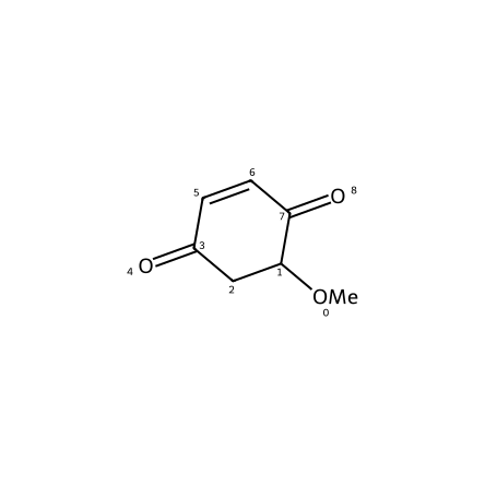 COC1CC(=O)C=CC1=O